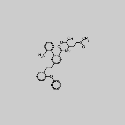 Cc1ccccc1-c1cc(CCc2ccccc2Oc2ccccc2)ccc1C(=O)NC(CC[S+](C)[O-])C(=O)O